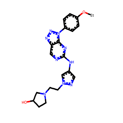 CCOc1ccc(-n2nnc3cnc(Nc4cnn(CCN5CCC(O)C5)c4)nc32)cc1